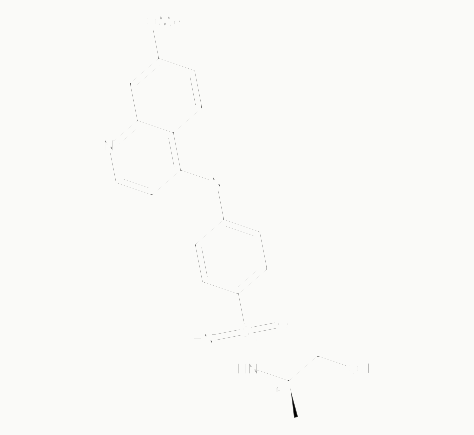 COc1ccc2c(Nc3ccc([S@](=N)(=O)N[C@H](C)CO)cc3)ccnc2c1